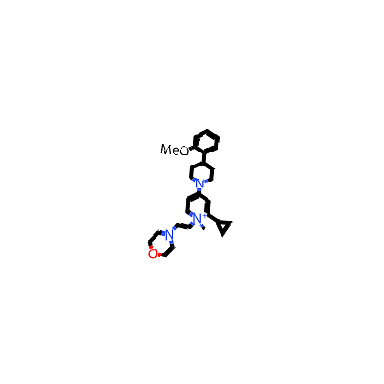 COc1ccccc1C1CCN(C2=CC[N+](C)(CCN3CCOCC3)C(C3CC3)=C2)CC1